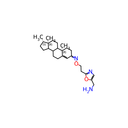 C[C@H]1CCC2C3CCC4=CC(=NOCCc5ncc(CN)o5)CC[C@]4(C)C3CC[C@@]21C